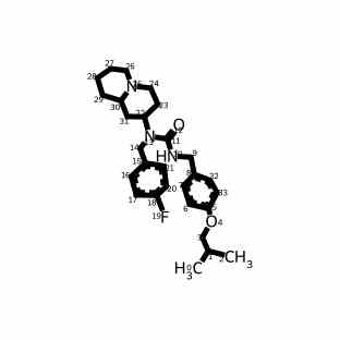 CC(C)COc1ccc(CNC(=O)N(Cc2ccc(F)cc2)C2CCN3CCCCC3C2)cc1